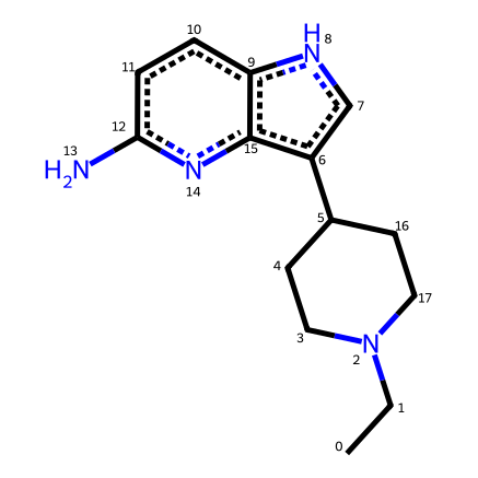 CCN1CCC(c2c[nH]c3ccc(N)nc23)CC1